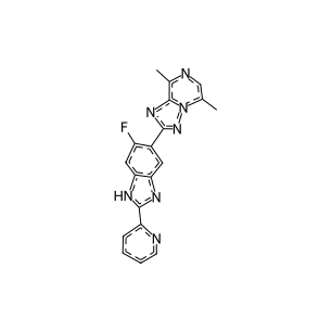 Cc1ncc(C)n2nc(-c3cc4nc(-c5ccccn5)[nH]c4cc3F)nc12